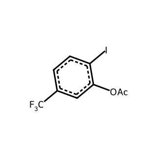 CC(=O)Oc1cc(C(F)(F)F)ccc1I